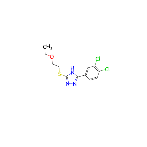 CCOCCSc1nnc(-c2ccc(Cl)c(Cl)c2)[nH]1